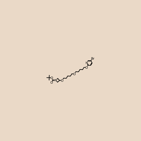 CC(C)(C)OC(=O)N1CC(OCCCCCOCCCCCOc2ccc(Br)cn2)C1